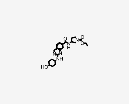 CCOC(=O)N1CCC(NC(=O)c2ccc3cnc(N[C@H]4CC[C@H](O)CC4)nc3c2)C1